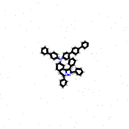 c1ccc(-c2ccc(-c3ccc(N(c4ccc(-c5ccccc5)cc4)c4ccc5cc(-c6ccccc6)n6nc(-c7ccccc7)c(-c7ccccc7)c6c5c4)cc3)cc2)cc1